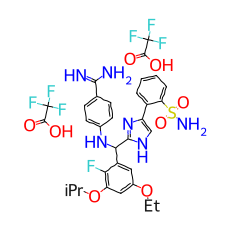 CCOc1cc(OC(C)C)c(F)c(C(Nc2ccc(C(=N)N)cc2)c2nc(-c3ccccc3S(N)(=O)=O)c[nH]2)c1.O=C(O)C(F)(F)F.O=C(O)C(F)(F)F